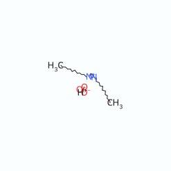 CCCCCCCCCCCCn1cc[n+](CCCCCCCCCCCC)c1.O=C([O-])[O-].[H+]